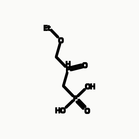 CCOC[PH](=O)CP(=O)(O)O